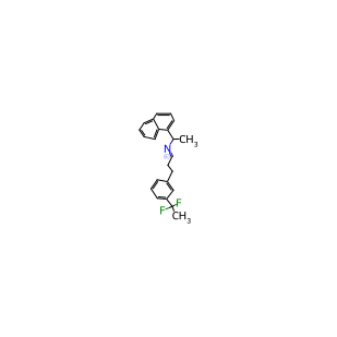 CC(/N=C/CCc1cccc(C(C)(F)F)c1)c1cccc2ccccc12